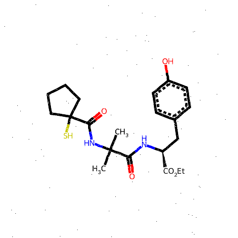 CCOC(=O)[C@H](Cc1ccc(O)cc1)NC(=O)C(C)(C)NC(=O)C1(S)CCCC1